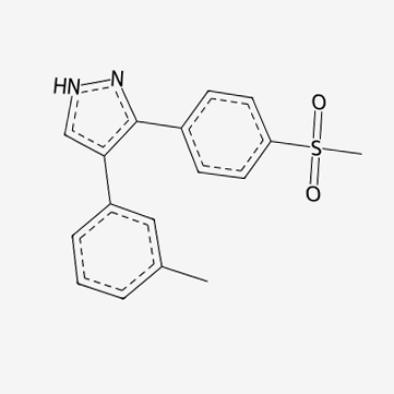 Cc1cccc(-c2c[nH]nc2-c2ccc(S(C)(=O)=O)cc2)c1